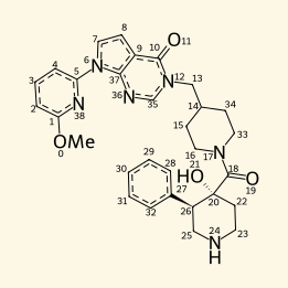 COc1cccc(-n2ccc3c(=O)n(CC4CCN(C(=O)[C@@]5(O)CCNC[C@H]5c5ccccc5)CC4)cnc32)n1